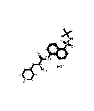 CC(C)(C)NS(=O)(=O)c1cccc2c(NC(=O)[C@@H](N)CC3CCOCC3)cccc12.Cl